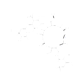 CCC1OC(=O)CC(O)C(C)C(OC2OC(C)C(OC3CC(C)(O)C(O)C(C)O3)C(N(C)C)C2O)C(CC=O)CC(C)C(=O)/C=C/C(C)=C/C1COC1OC(C)(O)CC(OC)C1OC